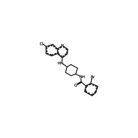 O=C(NC1CCC(Nc2ccnc3cc(Cl)ccc23)CC1)c1ccccc1Br